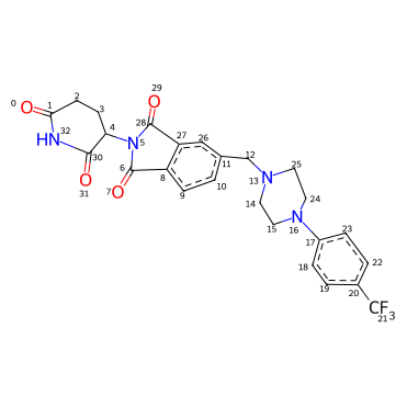 O=C1CCC(N2C(=O)c3ccc(CN4CCN(c5ccc(C(F)(F)F)cc5)CC4)cc3C2=O)C(=O)N1